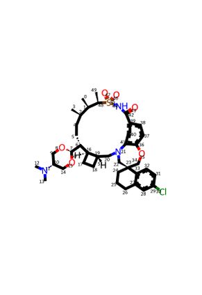 C[C@@H]1[C@H](C)CC[C@@H]([C@H]2OC[C@@H](N(C)C)CO2)[C@@H]2CC[C@H]2CN2C[C@@]3(CCCc4cc(Cl)ccc43)COc3ccc(cc32)C(=O)NS(=O)(=O)[C@@H]1C